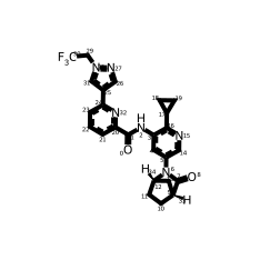 O=C(Nc1cc(N2C(=O)[C@@H]3CC[C@H]2C3)cnc1C1CC1)c1cccc(-c2cnn(CC(F)(F)F)c2)n1